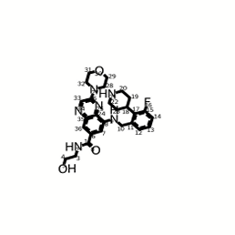 O=C(NCCO)c1cc(NCc2cccc(F)c2C2CCNCC2)c2nc(N3CCOCC3)cnc2c1